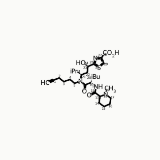 C#CCCCCN(C(=O)[C@@H](NC(=O)C1CCCCN1C)[C@@H](C)CC)[C@H](C[C@@H](O)c1nc(C(=O)O)cs1)C(C)C